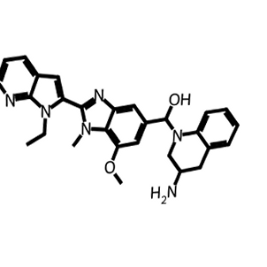 CCn1c(-c2nc3cc(C(O)N4CC(N)Cc5ccccc54)cc(OC)c3n2C)cc2cccnc21